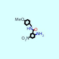 COc1ccc(CNC(=O)c2cc([N+](=O)[O-])ccc2N)cc1